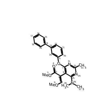 COC=C(C(=O)OC)c1c(Oc2cccc(-c3ccccc3)c2)nc(C)nc1N(C)C